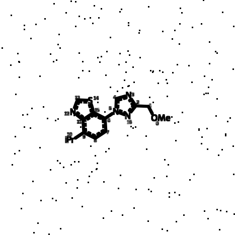 COCc1ncn(-c2ccc(C(C)C)c3ncsc23)n1